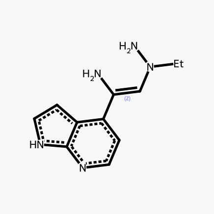 CCN(N)/C=C(\N)c1ccnc2[nH]ccc12